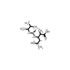 CC(C)C(C)OB(I)OC(C[C@H](C)O)C(C)C(=O)O